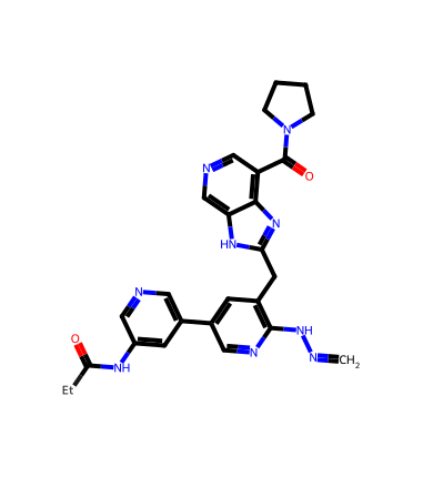 C=NNc1ncc(-c2cncc(NC(=O)CC)c2)cc1Cc1nc2c(C(=O)N3CCCC3)cncc2[nH]1